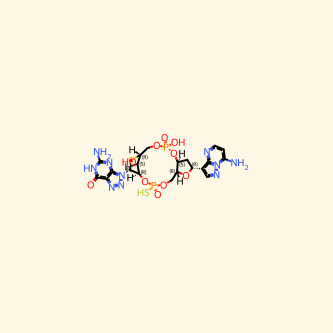 Nc1nc2c(nnn2[C@@H]2S[C@@H]3COP(=O)(O)O[C@H]4C[C@H](c5cnn6c(N)ccnc56)O[C@@H]4COP(=O)(S)O[C@@H]2[C@@H]3O)c(=O)[nH]1